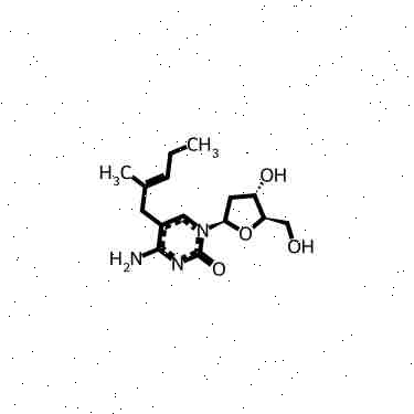 CCC=C(C)Cc1cn([C@H]2C[C@H](O)[C@@H](CO)O2)c(=O)nc1N